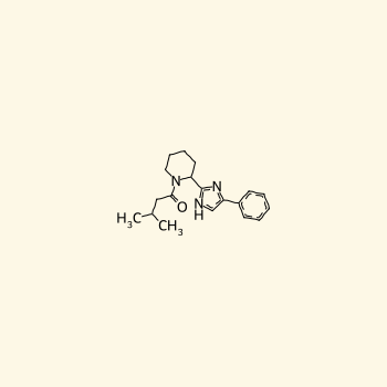 CC(C)CC(=O)N1CCCCC1c1nc(-c2ccccc2)c[nH]1